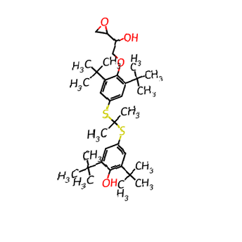 CC(C)(Sc1cc(C(C)(C)C)c(O)c(C(C)(C)C)c1)Sc1cc(C(C)(C)C)c(OCC(O)C2CO2)c(C(C)(C)C)c1